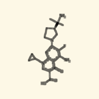 CC(C)(N)[C@@H]1CCN(c2cc3c(c(N)c2F)c(=O)c(C(=O)O)cn3C2CC2)C1